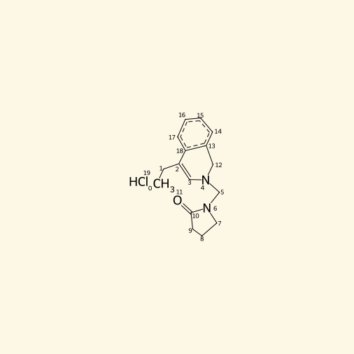 CCC1=CN(CN2CCCC2=O)Cc2ccccc21.Cl